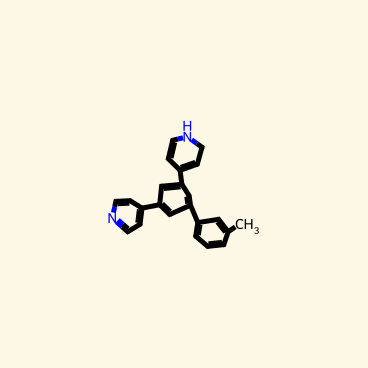 Cc1cccc(-c2cc(C3=CCNC=C3)cc(-c3ccncc3)c2)c1